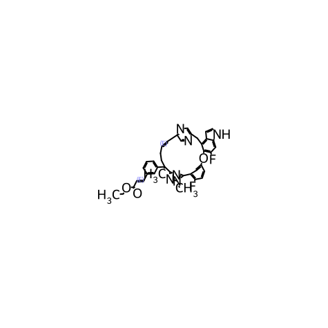 CCOC(=O)/C=C/c1cccc(C2(C)CC/C=C/c3cnc(cn3)Cc3c(c(F)cc4[nH]ccc34)Oc3ccc(F)c(c3)-c3nc2nn3C)c1